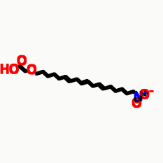 O=C(O)COCCCCC/C=C/C/C=C/C/C=C/CCCCC[N+](=O)[O-]